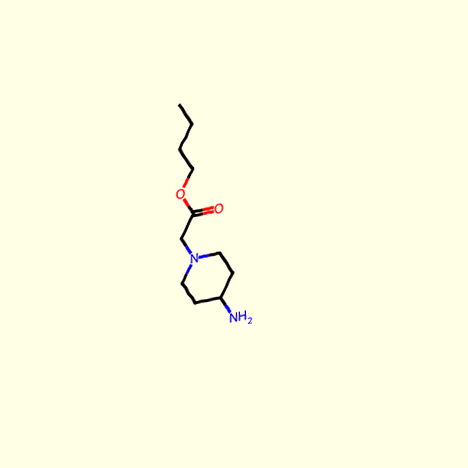 CCCCOC(=O)CN1CCC(N)CC1